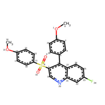 COc1ccc(-c2c(S(=O)(=O)c3ccc(OC)cc3)cnc3cc(F)ccc23)cc1